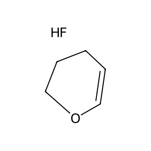 C1=COCCC1.F